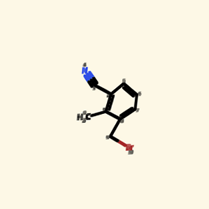 Cc1c(C#N)cccc1CBr